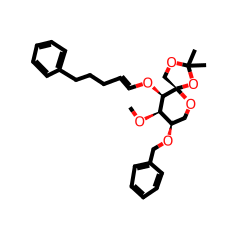 CO[C@H]1[C@@H](O/C=C/CCCc2ccccc2)[C@@]2(COC(C)(C)O2)OC[C@H]1OCc1ccccc1